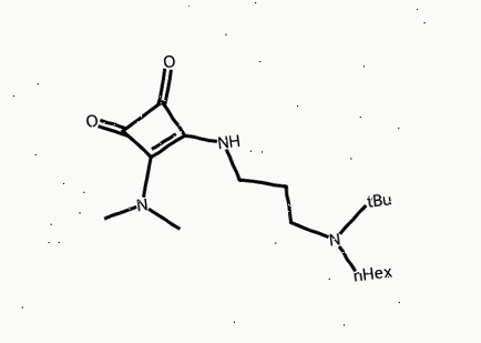 CCCCCCN(CCCNc1c(N(C)C)c(=O)c1=O)C(C)(C)C